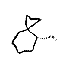 N[C@@H]1CCCCC12CC2